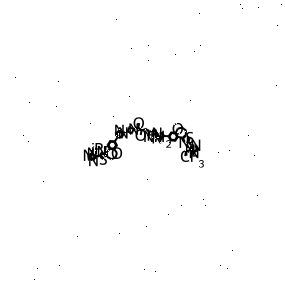 CC(C)n1ncnc1-c1nc2c(s1)CCOc1cc(-c3cnn(C4CN(C(=O)C(O)CC(N)Cn5cc(-c6ccc7c(c6)OCCc6sc(-c8ncnn8CC(F)(F)F)nc6-7)cn5)C4)c3)ccc1-2